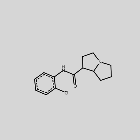 O=C(Nc1ccccc1Cl)C1CCN2CCCC12